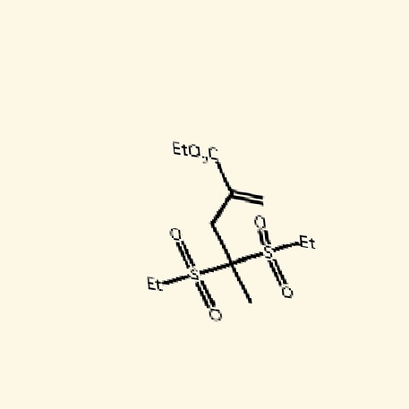 C=C(CC(C)(S(=O)(=O)CC)S(=O)(=O)CC)C(=O)OCC